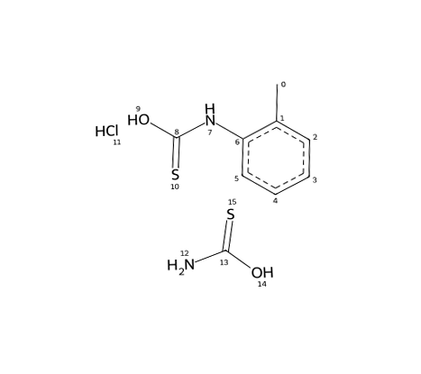 Cc1ccccc1NC(O)=S.Cl.NC(O)=S